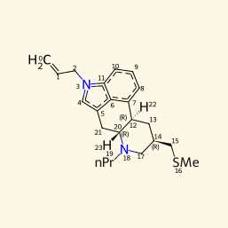 C=CCn1cc2c3c(cccc31)[C@H]1C[C@@H](CSC)CN(CCC)[C@@H]1C2